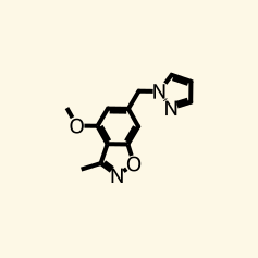 COc1cc(Cn2cccn2)cc2onc(C)c12